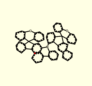 c1ccc(-c2ccccc2N(c2ccc3c(c2)C2(c4ccccc4Oc4ccccc42)c2ccccc2-3)c2cccc3c2-c2cc4ccccc4cc2C32c3ccccc3Oc3ccccc32)cc1